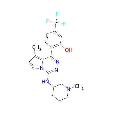 Cc1ccn2c(NC3CCCN(C)C3)nnc(-c3ccc(C(F)(F)F)cc3O)c12